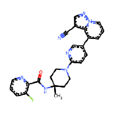 CC1(NC(=O)c2ncccc2F)CCN(c2ccc(-c3cccn4ncc(C#N)c34)cn2)CC1